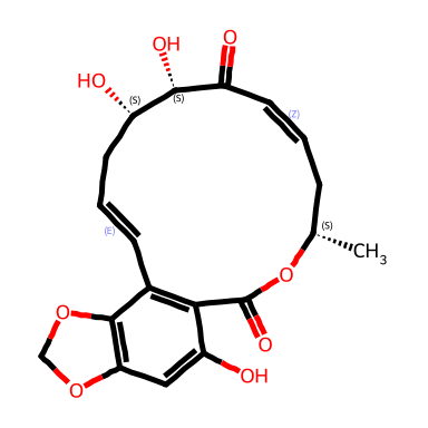 C[C@H]1C/C=C\C(=O)[C@@H](O)[C@@H](O)C/C=C/c2c3c(cc(O)c2C(=O)O1)OCO3